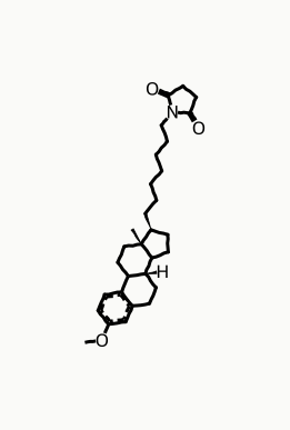 COc1ccc2c(c1)CC[C@@H]1C2CC[C@@]2(C)C1CC[C@@H]2CCCCCCCN1C(=O)CCC1=O